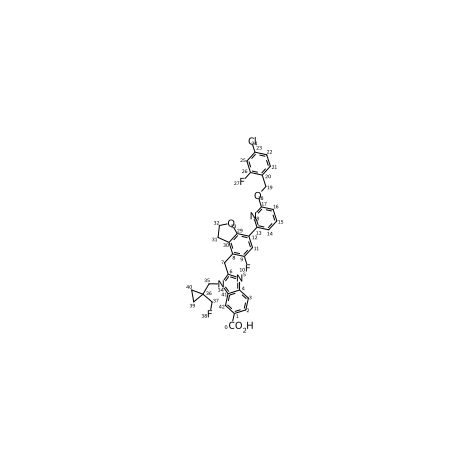 O=C(O)c1ccc2nc(Cc3c(F)cc(-c4cccc(OCc5ccc(Cl)cc5F)n4)c4c3CCO4)n(CC3(CF)CC3)c2c1